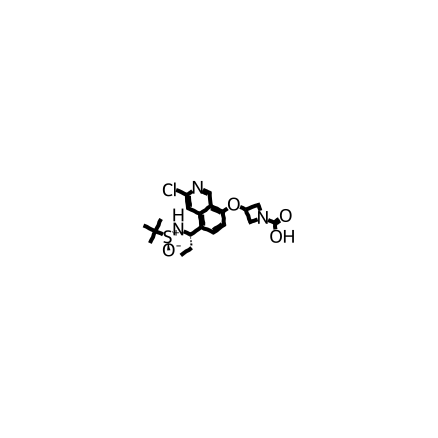 CC[C@H](N[S@@+]([O-])C(C)(C)C)c1ccc(OC2CN(C(=O)O)C2)c2cnc(Cl)cc12